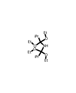 CCOC(NC(OCC)(OCC)C(C)C)(OCC)C(C)C